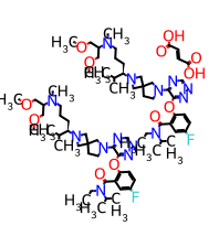 CCN(C(=O)c1cc(F)ccc1Oc1nncnc1N1CCC2(C1)CN([C@H](CCCN(C)C(COC)COC)C(C)C)C2)C(C)C.CCN(C(=O)c1cc(F)ccc1Oc1nncnc1N1CCC2(C1)CN([C@H](CCCN(C)C(COC)COC)C(C)C)C2)C(C)C.O=C(O)/C=C/C(=O)O